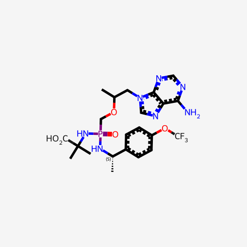 CC(Cn1cnc2c(N)ncnc21)OCP(=O)(N[C@@H](C)c1ccc(OC(F)(F)F)cc1)NC(C)(C)C(=O)O